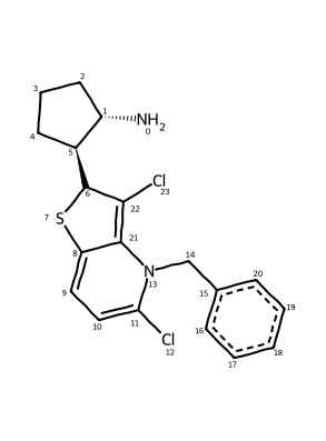 N[C@H]1CCC[C@@H]1C1SC2=CC=C(Cl)N(Cc3ccccc3)C2=C1Cl